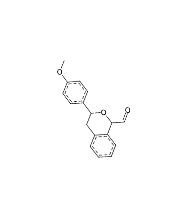 COc1ccc(C2Cc3ccccc3C(C=O)O2)cc1